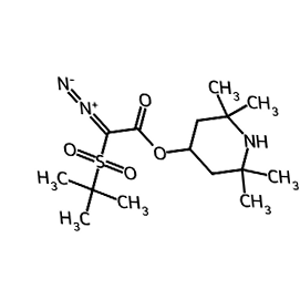 CC1(C)CC(OC(=O)C(=[N+]=[N-])S(=O)(=O)C(C)(C)C)CC(C)(C)N1